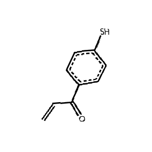 C=CC(=O)c1ccc(S)cc1